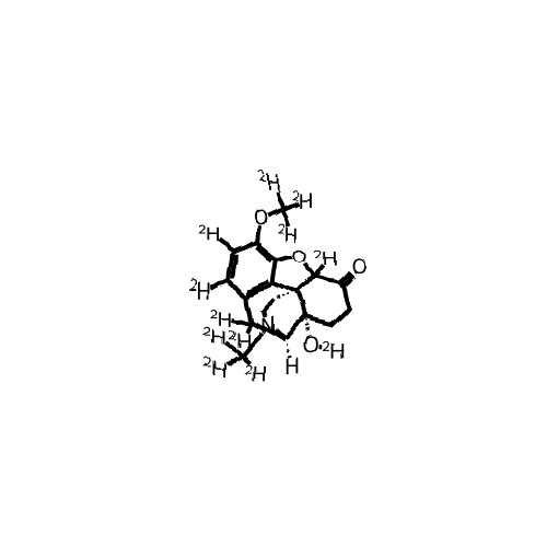 [2H]O[C@@]12CCC(=O)C3([2H])Oc4c(OC([2H])([2H])[2H])c([2H])c([2H])c5c4[C@@]31CCN(C([2H])([2H])[2H])[C@@H]2C5([2H])[2H]